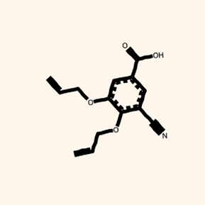 C=CCOc1cc(C(=O)O)cc(C#N)c1OCC=C